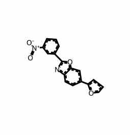 O=[N+]([O-])c1cccc(-c2nc3ccc(-c4ccco4)cc3o2)c1